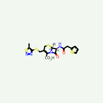 Cc1snnc1SCC1=C(C(=O)O)N2C(=O)[C@H](NC(=O)Cc3cccs3)[C@@H]2SC1